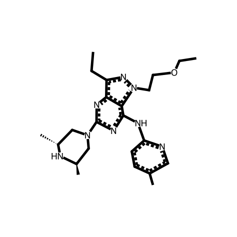 CCOCCn1nc(CC)c2nc(N3C[C@@H](C)N[C@H](C)C3)nc(Nc3ccc(C)cn3)c21